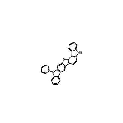 c1ccc(-n2c3ccccc3c3cc4c(cc32)sc2c4ccc3[nH]c4ccccc4c32)cc1